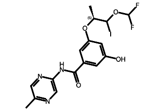 Cc1cnc(NC(=O)c2cc(O)cc(O[C@@H](C)C(I)OC(F)F)c2)cn1